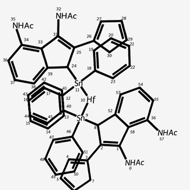 CC(=O)NC1=C(C2=CC=CC2)[CH]([Sn]([Hf][Sn]([c]2ccccc2)([c]2ccccc2)[CH]2C(C3=CC=CC3)=C(NC(C)=O)c3c(NC(C)=O)cccc32)([c]2ccccc2)[c]2ccccc2)c2cccc(NC(C)=O)c21